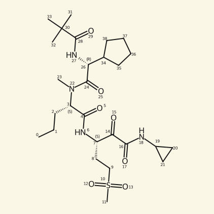 CCC[C@@H](C(=O)N[C@@H](CCS(C)(=O)=O)C(=O)C(=O)NC1CC1)N(C)C(=O)[C@H](NC(=O)C(C)(C)C)C1CCCC1